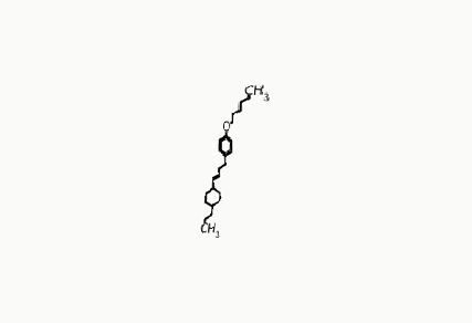 CCCCCCOc1ccc(CCC=CC2CCC(CCC)CC2)cc1